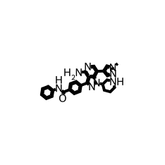 Cn1cc(-c2cnc(N)c3c(-c4ccc(C(=O)Nc5ccccc5)cc4)nn(C4CCCNC4)c23)cn1